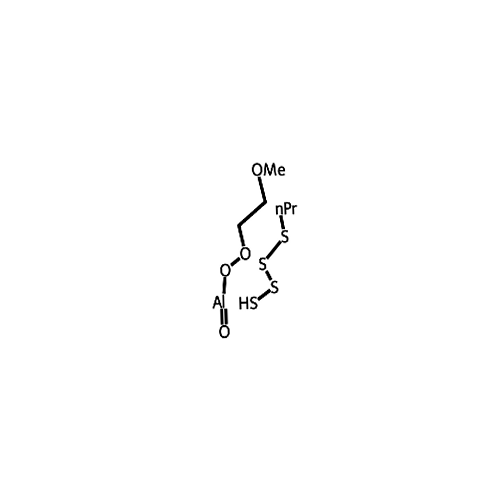 CCCSSSS.COCCO[O][Al]=[O]